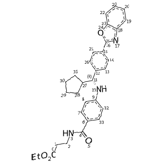 CCOC(=O)CCNC(=O)c1ccc(N[C@@H](c2ccc(-c3nc4ccccc4o3)cc2)C2CCCC2)cc1